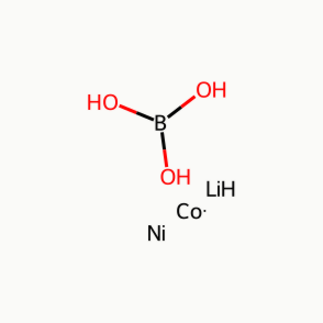 OB(O)O.[Co].[LiH].[Ni]